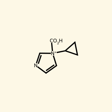 O=C(O)[N+]1(C2CC2)C=CN=C1